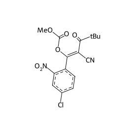 COC(=O)O/C(=C(/C#N)C(=O)C(C)(C)C)c1ccc(Cl)cc1[N+](=O)[O-]